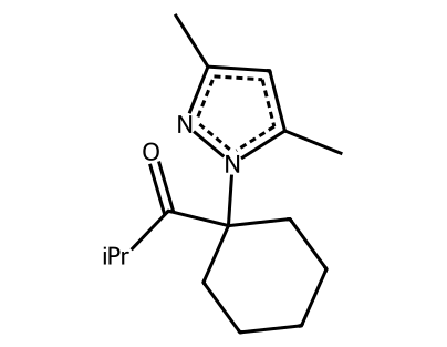 Cc1cc(C)n(C2(C(=O)C(C)C)CCCCC2)n1